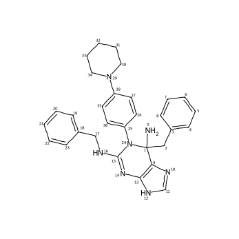 NC1(Cc2ccccc2)c2nc[nH]c2N=C(NCc2ccccc2)N1c1ccc(N2CCCCC2)cc1